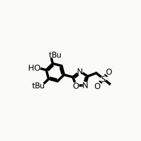 CC(C)(C)c1cc(-c2nc(CS(C)(=O)=O)no2)cc(C(C)(C)C)c1O